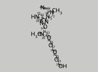 CN1CCN(c2nc(OC[C@@H]3C[C@@H](OCCOCCOCCOCCO)CN3C)nc3c2CCNC3)C[C@@H]1CC#N